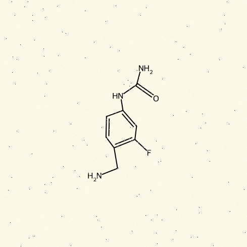 NCc1ccc(NC(N)=O)cc1F